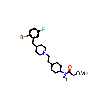 CCN(C(=O)COC)C1CCC(CCN2CCC(Cc3cc(F)ccc3Br)CC2)CC1